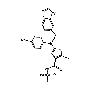 Cc1sc(N(Cc2ccc3nc[nH]c3c2)c2ccc(C#N)cc2)nc1C(=O)NS(C)(=O)=O